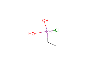 CC[PH](O)(O)Cl